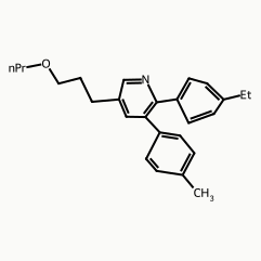 CCCOCCCc1cnc(-c2ccc(CC)cc2)c(-c2ccc(C)cc2)c1